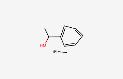 CC(C)C.CC(O)c1ccccc1